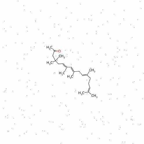 CC(=O)CC(C)(C)C/C=C(C)/C=C(\C)C/C=C(\C)CCC=C(C)C